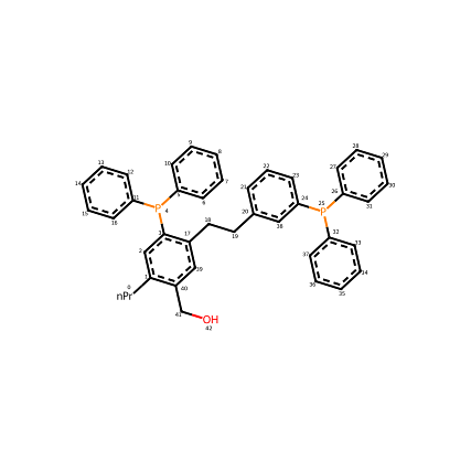 CCCc1cc(P(c2ccccc2)c2ccccc2)c(CCc2cccc(P(c3ccccc3)c3ccccc3)c2)cc1CO